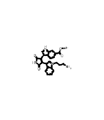 CCCOC(=O)c1ccc2c(C3=C(c4cn(CCCN)c5ccccc45)C(=O)NC3=O)c[nH]c2c1